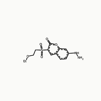 CCOCCS(=O)(=O)c1cc2ccc(NN)cc2oc1=O